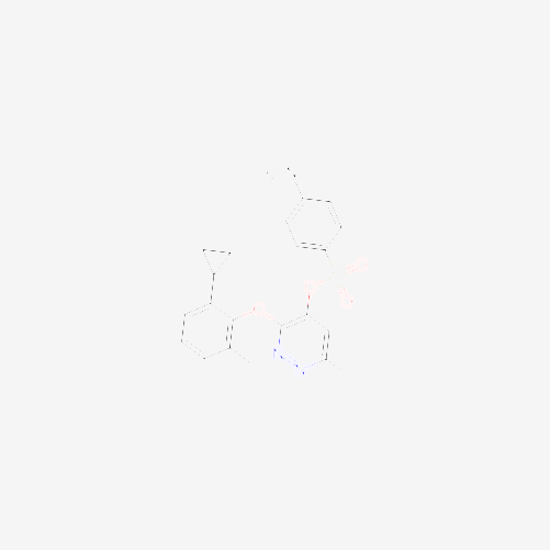 Cc1cccc(C2CC2)c1Oc1nnc(Cl)cc1OS(=O)(=O)c1ccc([N+](=O)[O-])cc1